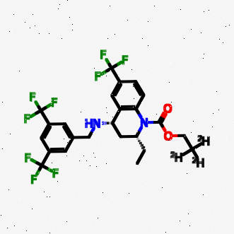 [2H]C([2H])([2H])COC(=O)N1c2ccc(C(F)(F)F)cc2[C@@H](NCc2cc(C(F)(F)F)cc(C(F)(F)F)c2)C[C@H]1CC